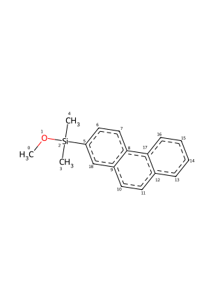 CO[Si](C)(C)c1ccc2c(ccc3ccccc32)c1